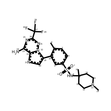 Cc1ccc(S(=O)(=O)NC2(C)CCN(C)CC2)cc1-c1cnc2c(N)nc(C(F)(F)F)nn12